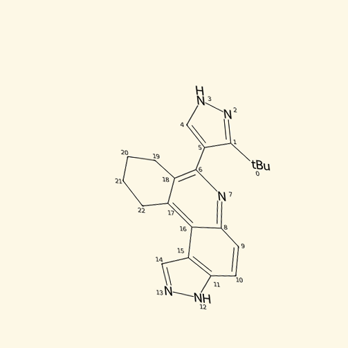 CC(C)(C)c1n[nH]cc1-c1nc2ccc3[nH]ncc3c2c2c1CCCC2